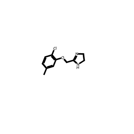 Cc1ccc(Cl)c(OCC2=NCCN2)c1